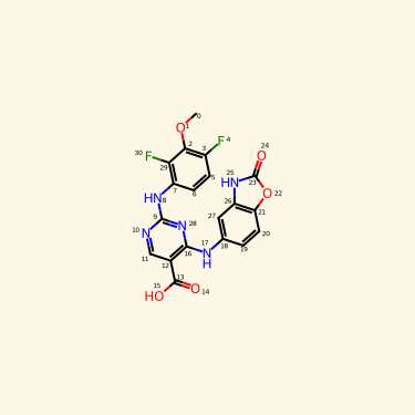 COc1c(F)ccc(Nc2ncc(C(=O)O)c(Nc3ccc4oc(=O)[nH]c4c3)n2)c1F